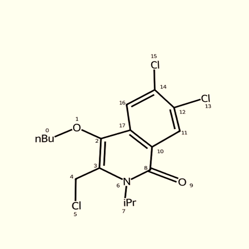 CCCCOc1c(CCl)n(C(C)C)c(=O)c2cc(Cl)c(Cl)cc12